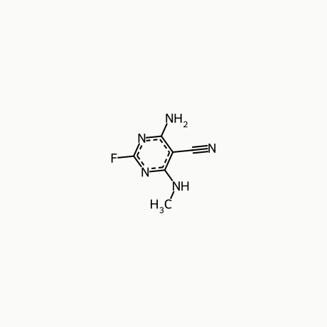 CNc1nc(F)nc(N)c1C#N